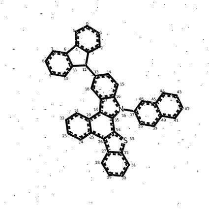 c1ccc2c(c1)-c1ccccc1C2c1ccc2c(c1)c1c3ccccc3c3c4ccccc4sc3c1n2-c1ccc2ccccc2c1